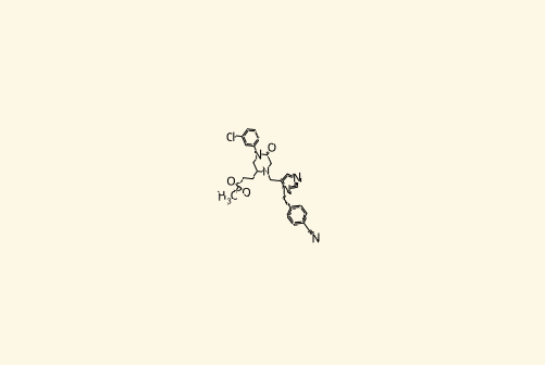 CS(=O)(=O)CCC1CN(c2cccc(Cl)c2)C(=O)CN1Cc1cncn1Cc1ccc(C#N)cc1